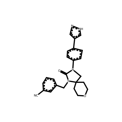 N#Cc1cccc(CN2C(=O)N(c3ccc(-c4cn[nH]c4)cc3)CC23CCOCC3)c1